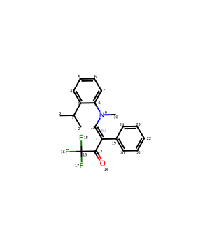 CC(C)c1ccccc1N(C)/C=C(/C(=O)C(F)(F)F)c1ccccc1